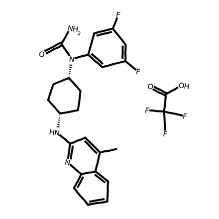 Cc1cc(N[C@H]2CC[C@@H](N(C(N)=O)c3cc(F)cc(F)c3)CC2)nc2ccccc12.O=C(O)C(F)(F)F